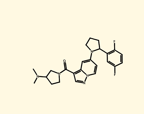 CN(C)C1CCN(C(=O)c2cnn3ccc(N4CCCC4c4cc(F)ccc4F)cc23)C1